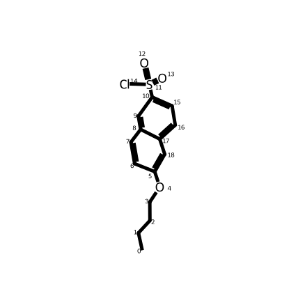 CCCCOc1ccc2cc(S(=O)(=O)Cl)ccc2c1